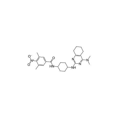 Cc1cc(C(=O)NC2CCC(Nc3nc4c(c(N(C)C)n3)CCCC4)CC2)cc(C)c1[N+](=O)[O-]